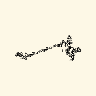 CC[C@@]1(O)C(=O)OCc2c1cc1n(c2=O)Cc2c-1nc1cc(F)c(C)c3c1c2[C@@H](NC(=O)[C@@H](O)OCNC(=O)CNC(=O)[C@H](Cc1ccccc1)NC(=O)CNC(=O)CNC(=O)COCCOCCOCCOCCOCCOCCOCCOCCOCCNC(=O)[C@H]1CC[C@H](CN2C(=O)C=CC2=O)CC1)CC3